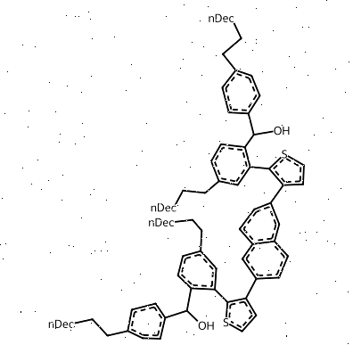 CCCCCCCCCCCCc1ccc(C(O)c2ccc(CCCCCCCCCCCC)cc2-c2sccc2-c2ccc3cc(-c4ccsc4-c4cc(CCCCCCCCCCCC)ccc4C(O)c4ccc(CCCCCCCCCCCC)cc4)ccc3c2)cc1